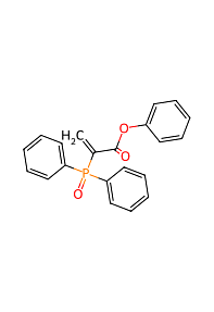 C=C(C(=O)Oc1ccccc1)P(=O)(c1ccccc1)c1ccccc1